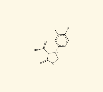 O=C(O)N1C(=O)OC[C@H]1c1ccc(F)c(F)c1